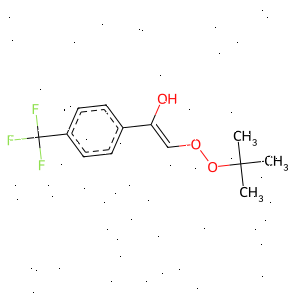 CC(C)(C)OOC=C(O)c1ccc(C(F)(F)F)cc1